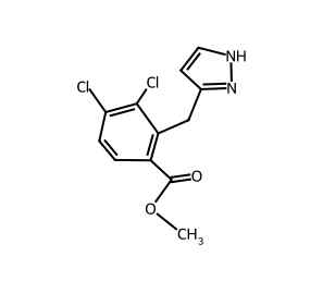 COC(=O)c1ccc(Cl)c(Cl)c1Cc1cc[nH]n1